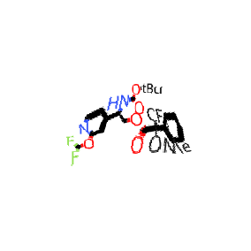 CO[C@@](C(=O)OC[C@H](NC(=O)OC(C)(C)C)c1ccnc(OC(F)F)c1)(c1ccccc1)C(F)(F)F